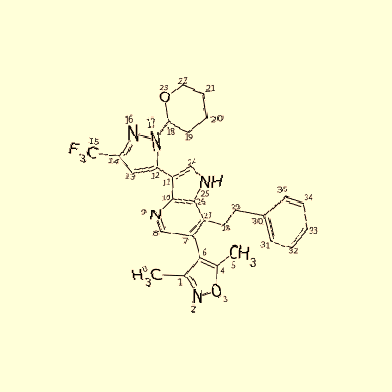 Cc1noc(C)c1-c1cnc2c(-c3cc(C(F)(F)F)nn3C3CCCCO3)c[nH]c2c1CCc1ccccc1